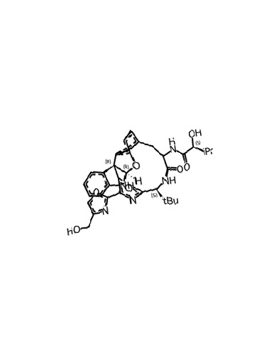 CC(C)[C@H](O)C(=O)NC1Cc2ccc3c(c2)[C@@]2(c4ccccc4N[C@@H]2O3)c2oc(nc2-c2nc(CO)co2)[C@H](C(C)(C)C)NC1=O